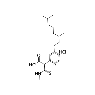 CNC(=S)C(C(=O)O)c1cc(CCC(C)CCCC(C)C)ccn1.Cl